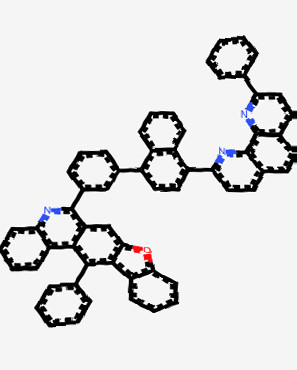 c1ccc(-c2ccc3ccc4ccc(-c5ccc(-c6cccc(-c7nc8ccccc8c8c(-c9ccccc9)c9c(cc78)oc7ccccc79)c6)c6ccccc56)nc4c3n2)cc1